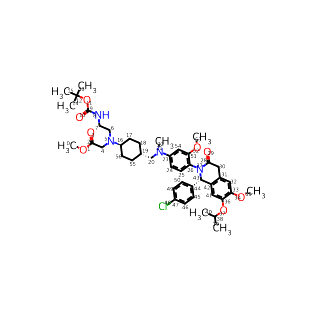 COC(=O)CN(CCNC(=O)OC(C)(C)C)[C@H]1CC[C@H](CN(C)c2ccc(N3C(=O)Cc4cc(OC)c(OC(C)C)cc4[C@@H]3c3ccc(Cl)cc3)c(OC)c2)CC1